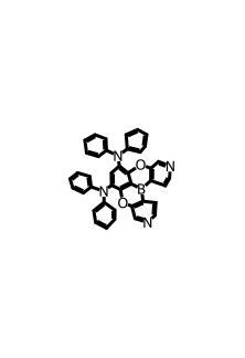 c1ccc(N(c2ccccc2)c2cc(N(c3ccccc3)c3ccccc3)c3c4c2Oc2cnccc2B4c2ccncc2O3)cc1